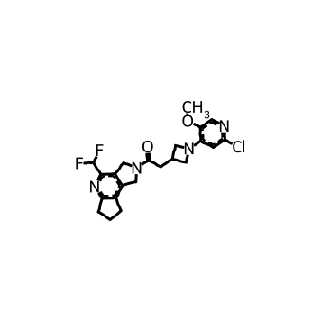 COc1cnc(Cl)cc1N1CC(CC(=O)N2Cc3c(C(F)F)nc4c(c3C2)CCC4)C1